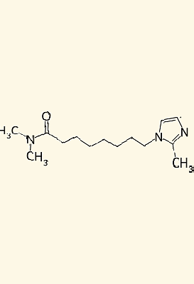 Cc1n[c]cn1CCCCCCCC(=O)N(C)C